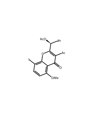 COc1ccc(I)c2oc([C@@H](OC(C)=O)C(C)C)c(C(C)=O)c(=O)c12